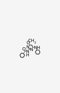 COc1cc(Nc2ccccc2)nc(NC(=O)c2ccccc2)n1